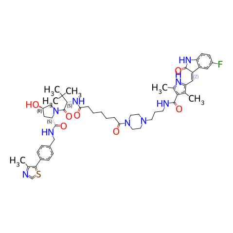 Cc1ncsc1-c1ccc(CNC(=O)[C@@H]2C[C@@H](O)CN2C(=O)[C@@H](NC(=O)CCCCCC(=O)N2CCN(CCCNC(=O)c3c(C)[nH]c(/C=C4\C(=O)Nc5ccc(F)cc54)c3C)CC2)C(C)(C)C)cc1